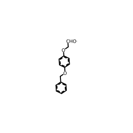 O=[C]COc1ccc(OCc2ccccc2)cc1